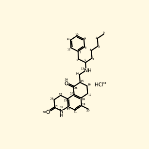 CCCCCC(Cc1ccccc1)NCC1CCc2c(C)cc3c(c2C1=O)CCC(=O)N3.Cl